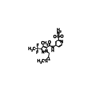 Cc1c(C(C)(F)F)nn(CC2C[C@H]2C)c1C(=O)Nc1ccnc(S(N)(=O)=O)c1